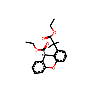 CCOC(=O)[C@H]1c2ccccc2Oc2cccc(C(C)(C)C(=O)OCC)c21